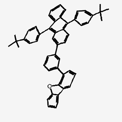 CC(C)(C)c1ccc(-c2c3ccccc3c(-c3ccc(C(C)(C)C)cc3)c3cc(-c4cccc(-c5cccc6c5oc5ccccc56)c4)ccc23)cc1